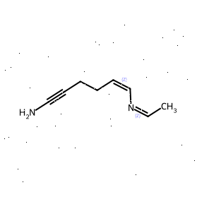 C/C=N\C=C/CCC#CN